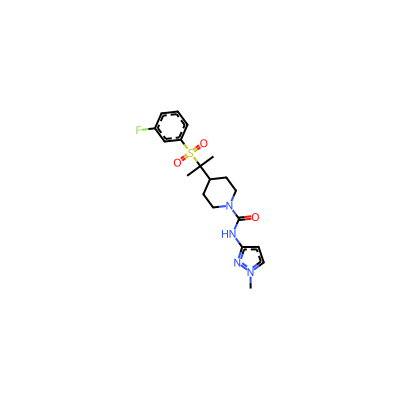 Cn1ccc(NC(=O)N2CCC(C(C)(C)S(=O)(=O)c3cccc(F)c3)CC2)n1